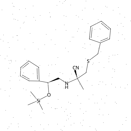 C[C@@](C#N)(CSCc1ccccc1)NC[C@@H](O[Si](C)(C)C)c1ccccc1